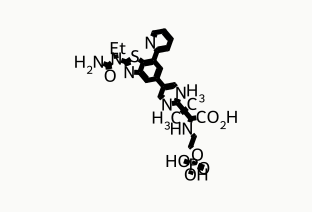 CCN(C(N)=O)c1nc2cc(-c3cnc(C(C)(C)C(NCCOP(=O)(O)O)C(=O)O)nc3)cc(-c3ccccn3)c2s1